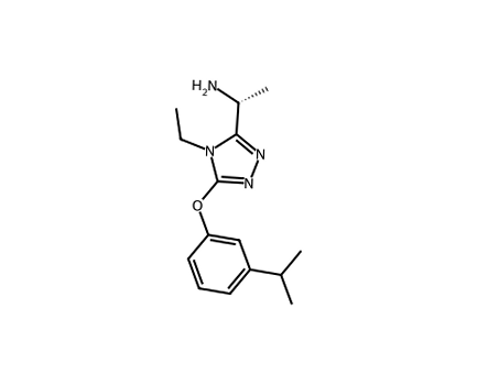 CCn1c(Oc2cccc(C(C)C)c2)nnc1[C@@H](C)N